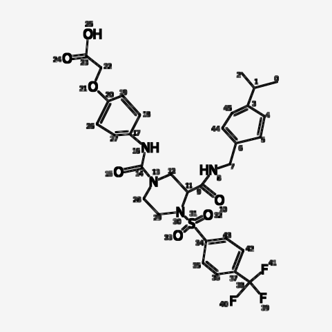 CC(C)c1ccc(CNC(=O)C2CN(C(=O)Nc3ccc(OCC(=O)O)cc3)CCN2S(=O)(=O)c2ccc(C(F)(F)F)cc2)cc1